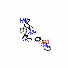 Cc1ncc(C#N)c(Nc2ccc3[nH]ccc3c2C)c1C=Cc1ccc(CS(=O)(=O)N2CCCC2)cc1